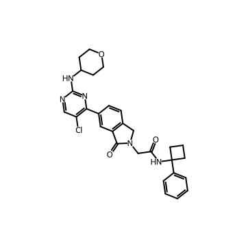 O=C(CN1Cc2ccc(-c3nc(NC4CCOCC4)ncc3Cl)cc2C1=O)NC1(c2ccccc2)CCC1